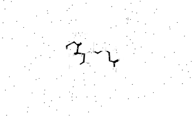 CN[C@@H](CO)C(=O)C(=O)[C@@H](NCN[C@@H](CC(N)=O)C(C)=O)[C@@H](C)O